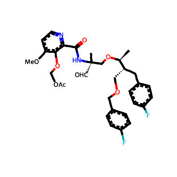 COc1ccnc(C(=O)N[C@](C)(C=O)CO[C@@H](C)[C@@H](COCc2ccc(F)cc2)Cc2ccc(F)cc2)c1OCOC(C)=O